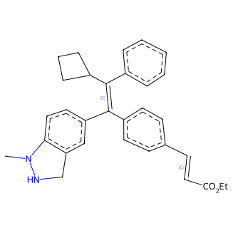 CCOC(=O)/C=C/c1ccc(/C(=C(\c2ccccc2)C2CCC2)c2ccc3c(c2)CNN3C)cc1